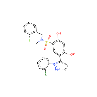 CN(Cc1ccccc1F)S(=O)(=O)c1cc(-c2ccnn2-c2ccccc2Cl)c(O)cc1O